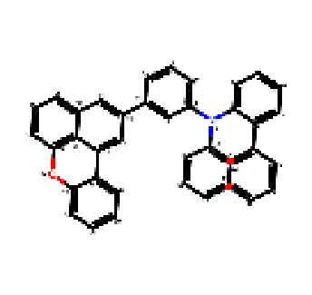 c1ccc(-c2ccccc2N(c2ccccc2)c2cccc(-c3cc4c5c(cccc5c3)Oc3ccccc3-4)c2)cc1